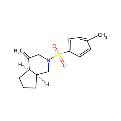 C=C1CN(S(=O)(=O)c2ccc(C)cc2)C[C@H]2CCC[C@@H]12